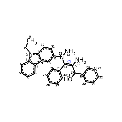 CCn1c2ccccc2c2cc(N(N)/C(=C(\N)C(O)c3cccnc3)c3ccccc3)ccc21